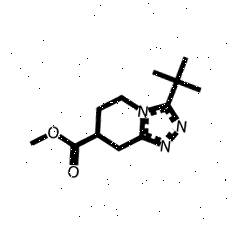 COC(=O)C1CCn2c(nnc2C(C)(C)C)C1